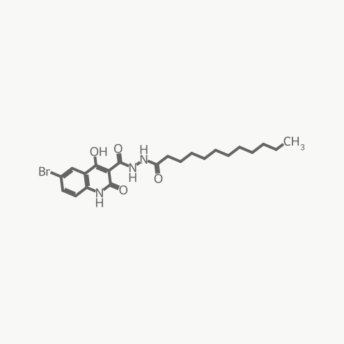 CCCCCCCCCCCC(=O)NNC(=O)c1c(O)c2cc(Br)ccc2[nH]c1=O